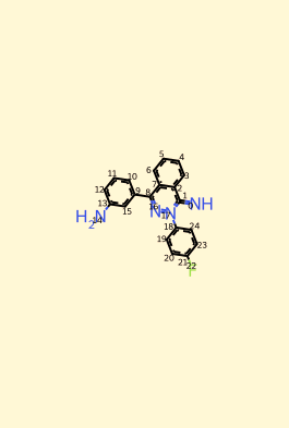 N=c1c2ccccc2c(-c2cccc(N)c2)nn1-c1ccc(F)cc1